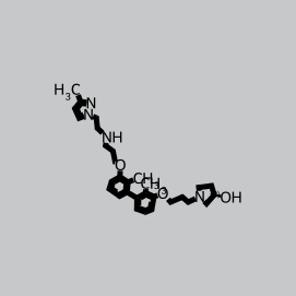 Cc1ccn(CCNCCCOc2cccc(-c3cccc(OCCCN4CC[C@@H](O)C4)c3C)c2C)n1